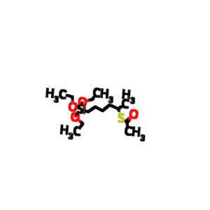 CCO[Si](CCCCC(C)SC(C)=O)(OCC)OCC